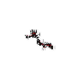 Cc1ncsc1-c1ccc(CNC(=O)[C@@H]2C[C@@H](O)CN2C(=O)C(NC(=O)COCCOCCOCC(=O)N2CCN(CCC(NC(=O)C3(N)CCN(c4ncnc5[nH]ccc45)CC3)c3ccc(Cl)cc3)CC2)C(C)(C)C)cc1